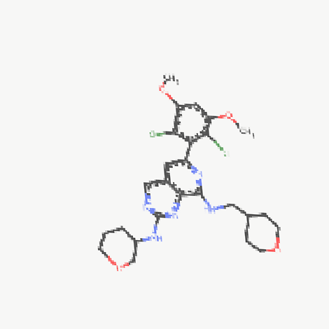 COc1cc(OC)c(Cl)c(-c2cc3cnc(NC4CCCOC4)nc3c(NCC3CCOCC3)n2)c1Cl